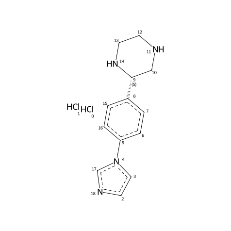 Cl.Cl.c1cn(-c2ccc([C@H]3CNCCN3)cc2)cn1